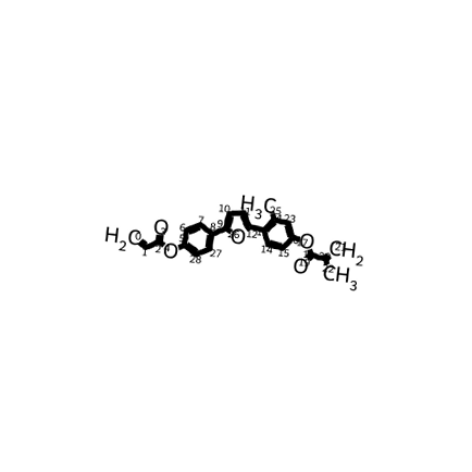 C=CC(=O)Oc1ccc(-c2ccc(-c3ccc(OC(=O)C(=C)C)cc3C)o2)cc1